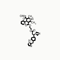 COC(=O)C1=C(C)NC(C)=C(C(=O)OCCOC(=O)CC(c2ccc(Cc3ncc[nH]3)cc2)n2ccnc2)C1c1ccccn1